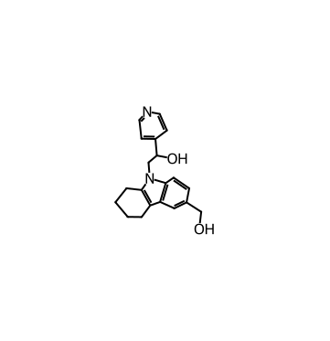 OCc1ccc2c(c1)c1c(n2CC(O)c2ccncc2)CCCC1